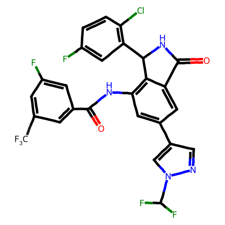 O=C(Nc1cc(-c2cnn(C(F)F)c2)cc2c1C(c1cc(F)ccc1Cl)NC2=O)c1cc(F)cc(C(F)(F)F)c1